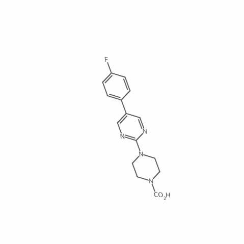 O=C(O)N1CCN(c2ncc(-c3ccc(F)cc3)cn2)CC1